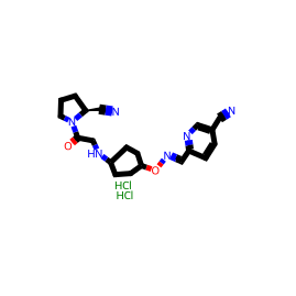 Cl.Cl.N#Cc1ccc(C=NOC2CCC(NCC(=O)N3CCC[C@H]3C#N)CC2)nc1